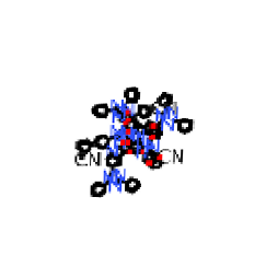 N#Cc1ccc(-c2cccc(-c3nc(-c4ccc(-c5cccc(C#N)c5)cc4-n4c5ccc(-c6nc(-c7ccccc7)nc(-c7ccccc7)n6)cc5c5cc(-c6nc(-c7ccccc7)nc(-c7ccccc7)n6)ccc54)nc(-c4ccc(-c5cccc(C#N)c5)cc4-n4c5ccc(-c6nc(-c7ccccc7)nc(-c7ccccc7)n6)cc5c5cc(-c6nc(-c7ccccc7)nc(-c7ccccc7)n6)ccc54)n3)c2)cc1